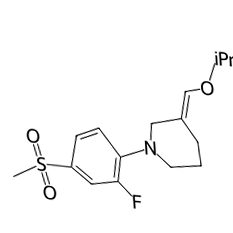 CC(C)O/C=C1\CCCN(c2ccc(S(C)(=O)=O)cc2F)C1